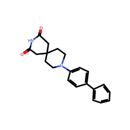 O=C1CC2(CCN(c3ccc(-c4ccccc4)cc3)CC2)CC(=O)N1